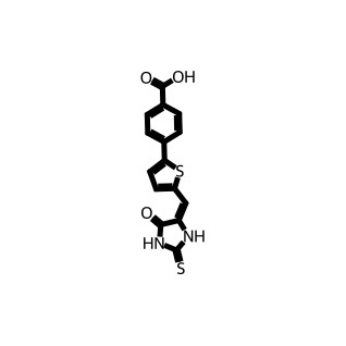 O=C1NC(=S)NC1=Cc1ccc(-c2ccc(C(=O)O)cc2)s1